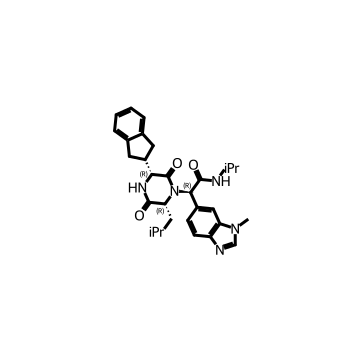 CC(C)C[C@@H]1C(=O)N[C@H](C2Cc3ccccc3C2)C(=O)N1[C@@H](C(=O)NC(C)C)c1ccc2ncn(C)c2c1